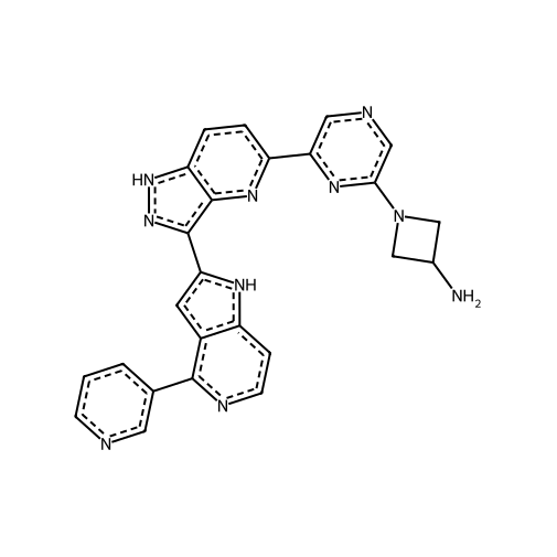 NC1CN(c2cncc(-c3ccc4[nH]nc(-c5cc6c(-c7cccnc7)nccc6[nH]5)c4n3)n2)C1